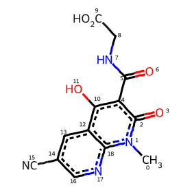 Cn1c(=O)c(C(=O)NCC(=O)O)c(O)c2cc(C#N)cnc21